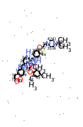 Cc1cc(C)c(OC(=O)NC2(Cc3ccc4c(c3)C=COO4)C=CNC(Nc3ccc(OCCN4CCN(C(C)C)CC4)c(F)c3)N2)c(C)c1